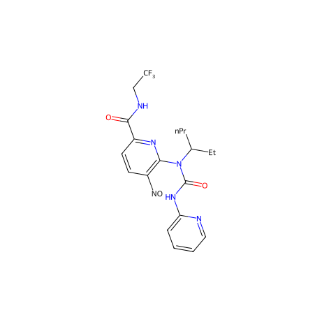 CCCC(CC)N(C(=O)Nc1ccccn1)c1nc(C(=O)NCC(F)(F)F)ccc1N=O